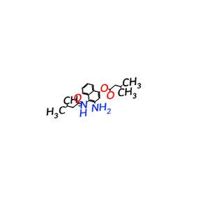 CC(C)CC(=O)Nc1c(N)cc(OC(=O)CC(C)C)c2ccccc12